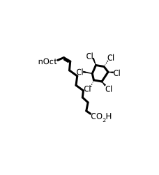 CCCCCCCC/C=C\CCCCCCCC(=O)O.Cl[C@H]1[C@H](Cl)[C@@H](Cl)[C@@H](Cl)[C@H](Cl)[C@H]1Cl